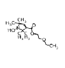 CCOCCOC(=O)C1=CC(C)(C)N(O)C1(C)C